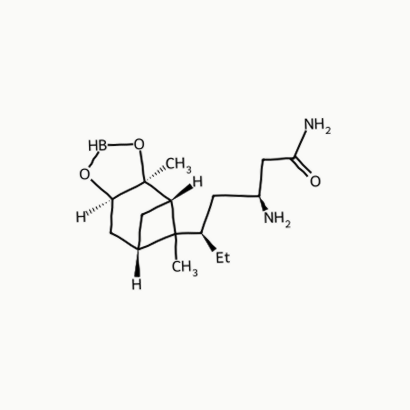 CC[C@H](C[C@H](N)CC(N)=O)C1(C)[C@@H]2C[C@H]3OBO[C@@]3(C)[C@H]1C2